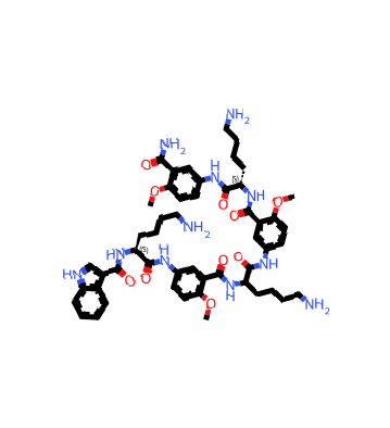 COc1ccc(NC(=O)[C@H](CCCCN)NC(=O)c2cc(NC(=O)C(CCCCN)NC(=O)c3cc(NC(=O)[C@H](CCCCN)NC(=O)c4c[nH]c5ccccc45)ccc3OC)ccc2OC)cc1C(N)=O